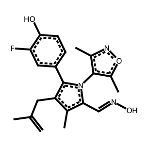 C=C(C)Cc1c(C)c(C=NO)n(-c2c(C)noc2C)c1-c1ccc(O)c(F)c1